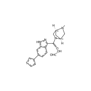 CN1C[C@@H]2C[C@H]1CN2C(=O)c1n[nH]c2cc(-c3ccsc3)ccc12.O=CO